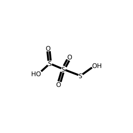 O=S(O)S(=O)(=O)SO